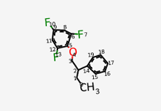 CCC(COc1c(F)cc(F)cc1F)c1ccccc1